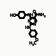 CO[C@H]1CC[C@H](Nc2ncc(C(N)=O)c(NC3CCC(O)CC3)n2)CC1